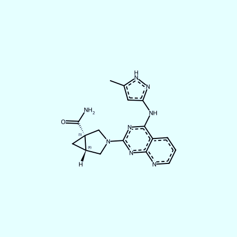 Cc1cc(Nc2nc(N3C[C@@H]4C[C@@]4(C(N)=O)C3)nc3ncccc23)n[nH]1